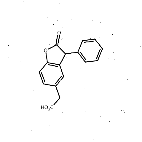 O=C(O)Cc1ccc2c(c1)C(c1ccccc1)C(=O)O2